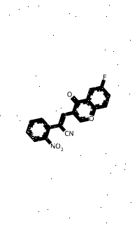 N#C/C(=C\c1coc2ccc(F)cc2c1=O)c1ccccc1[N+](=O)[O-]